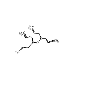 C=CC[Si](CC=C)O[Si](CC=C)CC=C